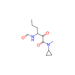 CCCC(NC=O)C(=O)C(=O)N(C)C1CC1